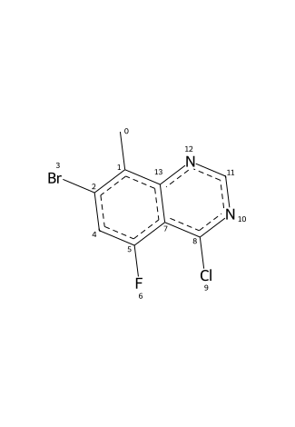 Cc1c(Br)cc(F)c2c(Cl)ncnc12